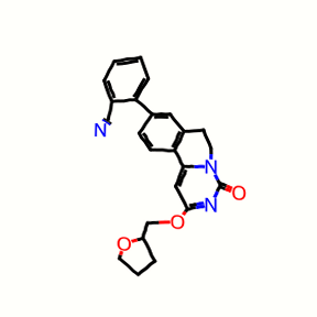 N#Cc1ccccc1-c1ccc2c(c1)CCn1c-2cc(OCC2CCCO2)nc1=O